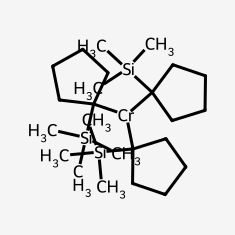 C[Si](C)(C)[C]1([Cr]([C]2([Si](C)(C)C)CCCC2)[C]2([Si](C)(C)C)CCCC2)CCCC1